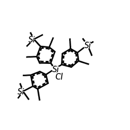 Cc1cc([Si](Cl)(c2cc(C)c([Si](C)(C)C)c(C)c2)c2cc(C)c([Si](C)(C)C)c(C)c2)cc(C)c1[Si](C)(C)C